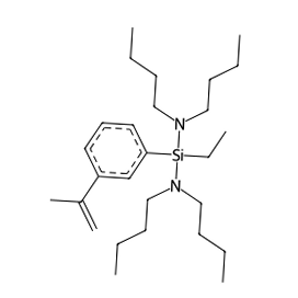 C=C(C)c1cccc([Si](CC)(N(CCCC)CCCC)N(CCCC)CCCC)c1